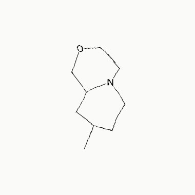 CC1CCN2CCOCC2C1